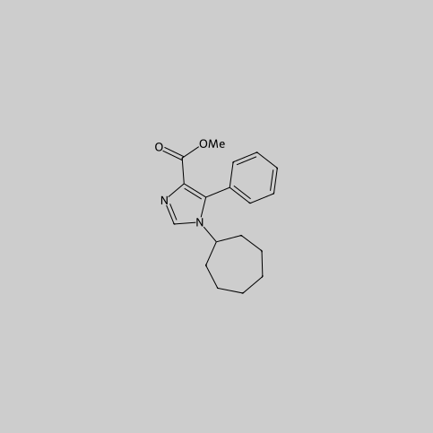 COC(=O)c1ncn(C2CCCCCC2)c1-c1ccccc1